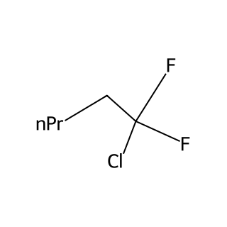 CCCCC(F)(F)Cl